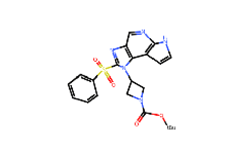 CC(C)(C)OC(=O)N1CC(n2c(S(=O)(=O)c3ccccc3)nc3cnc4[nH]ccc4c32)C1